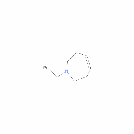 CC(C)CN1CCC=CCC1